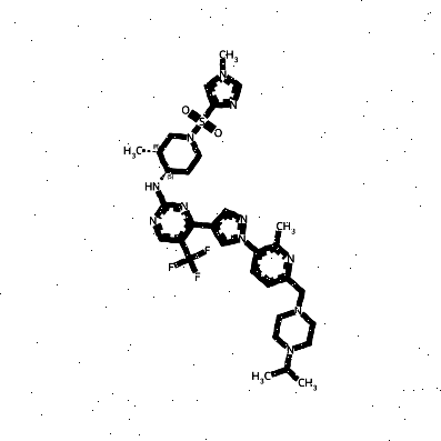 Cc1nc(CN2CCN(C(C)C)CC2)ccc1-n1cc(-c2nc(N[C@H]3CCN(S(=O)(=O)c4cn(C)cn4)C[C@H]3C)ncc2C(F)(F)F)cn1